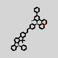 CC1(C)c2cc(/C=C/c3ccc(N(c4ccccc4)c4c(F)cc(-c5ccccc5)cc4-c4ccccc4)cc3)ccc2-c2ccc3c4ccccc4n(-c4ccccc4)c3c21